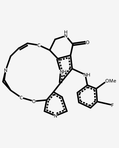 COc1c(F)cccc1Nc1c2[nH]c3c1C(=O)NCC3CC=CCN1CC(COc3cnccc3-2)C1